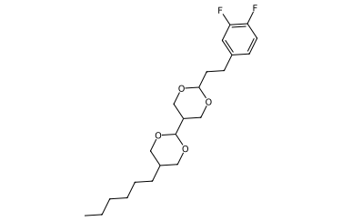 CCCCCCC1COC(C2COC(CCc3ccc(F)c(F)c3)OC2)OC1